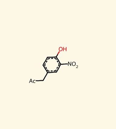 CC(=O)Cc1ccc(O)c([N+](=O)[O-])c1